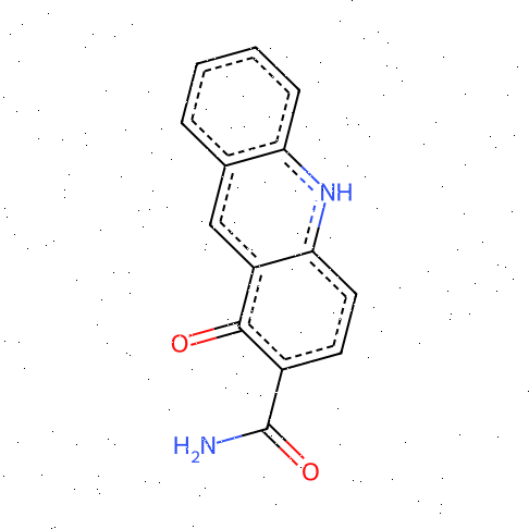 NC(=O)c1ccc2[nH]c3ccccc3cc-2c1=O